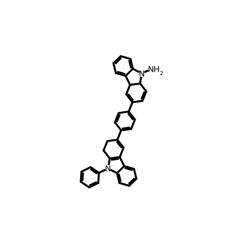 NN1c2ccccc2C2C=C(c3ccc(C4=Cc5c(n(-c6ccccc6)c6ccccc56)CC4)cc3)C=CC21